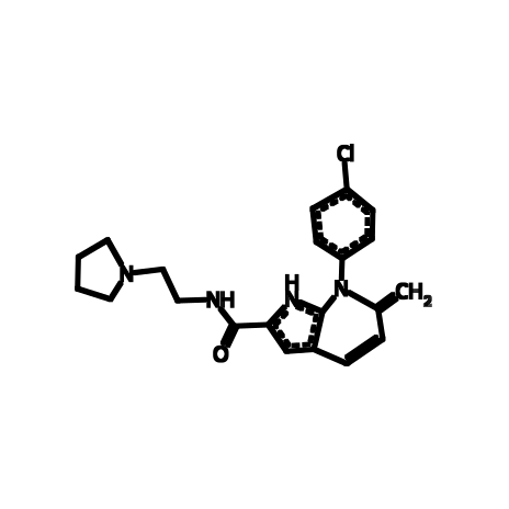 C=C1C=Cc2cc(C(=O)NCCN3CCCC3)[nH]c2N1c1ccc(Cl)cc1